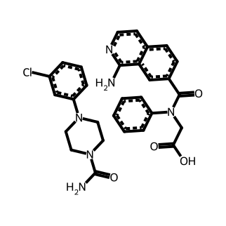 NC(=O)N1CCN(c2cccc(Cl)c2)CC1.Nc1nccc2ccc(C(=O)N(CC(=O)O)c3ccccc3)cc12